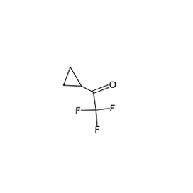 O=C(C1CC1)C(F)(F)F